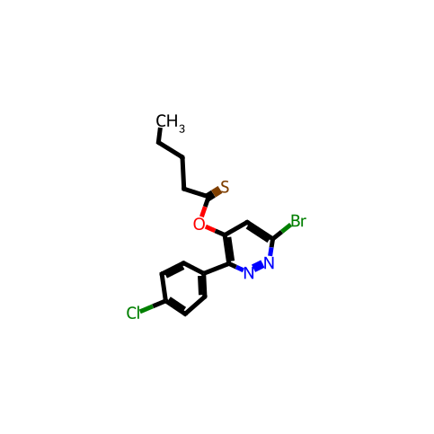 CCCCC(=S)Oc1cc(Br)nnc1-c1ccc(Cl)cc1